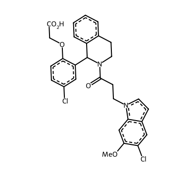 COc1cc2c(ccn2CCC(=O)N2CCc3ccccc3C2c2cc(Cl)ccc2OCC(=O)O)cc1Cl